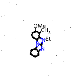 CCn1c2c(C)c(OC)ccc2n2c3ccccc3nc12